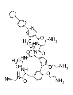 Cc1nc(-c2ccc(C3CCCC3)cc2)ncc1C(=O)NC(CCN)C(=O)N(C)C1C(=O)NC(C)C(=O)NC(C(=O)NCC#N)Cc2ccc(OCCN)c(c2)-c2cc1ccc2OCCN